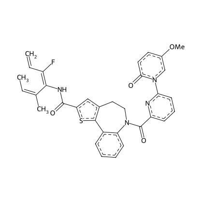 C=C/C(F)=C(NC(=O)c1cc2c(s1)-c1ccccc1N(C(=O)c1cccc(-n3cc(OC)ccc3=O)n1)CC2)\C(C)=C/C